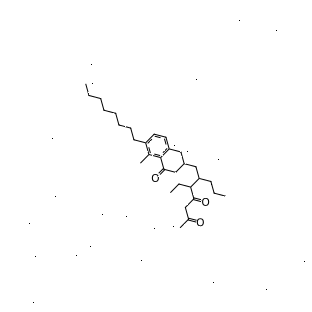 CCCCCCCCc1ccc2c(c1C)C(=O)CC(CC(CCC)C(CC)C(=O)CC(C)=O)C2